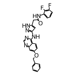 O=C(Cc1cc(Nc2ncnc3cc(OCc4ccccc4)ccc23)n[nH]1)Nc1cccc(F)c1F